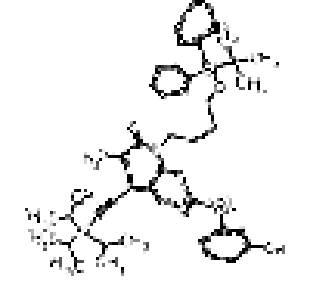 Cc1c(C#C[Si](C(C)C)(C(C)C)C(C)C)c2cnc(Nc3cccc(O)c3)nc2n(C/C=C\CO[Si](c2ccccc2)(c2ccccc2)C(C)(C)C)c1=O